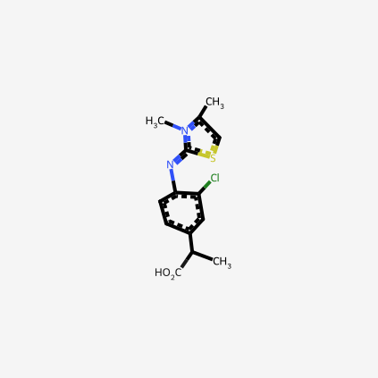 Cc1csc(=Nc2ccc(C(C)C(=O)O)cc2Cl)n1C